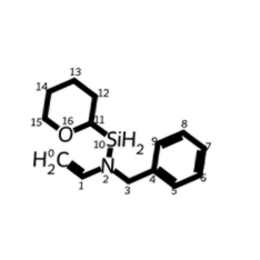 C=CN(Cc1ccccc1)[SiH2]C1CCCCO1